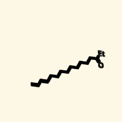 C=CC=CCCCCCCCCCC(=O)CC